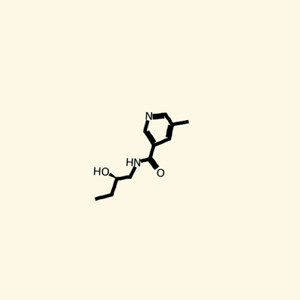 CC[C@@H](O)CNC(=O)c1cncc(C)c1